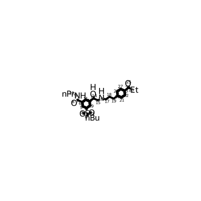 CCCCS(=O)(=O)c1cc(C(=O)NCCC)cc(C(O)CNCCCc2ccc(C(=O)CC)cc2)c1